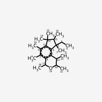 CCC1(C)c2c3c(c(C)c(C)c2C(C)(C)C1C)C(C)OC(C)C3C